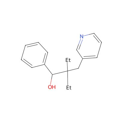 CCC(CC)(Cc1cccnc1)C(O)c1ccccc1